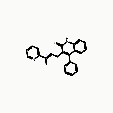 C/C(=C\Cc1c(-c2ccccc2)c2ccccc2[nH]c1=O)c1ccccn1